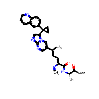 C=N/C(=C\C=C(/C)c1cnc2ncc(C3(c4ccc5ncccc5c4)CC3)n2c1)C(=O)N[C@H](C(=O)NC)C(C)(C)C